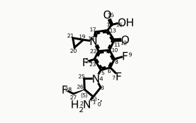 C[C@@]1(N)CN(c2c(F)c(F)c3c(=O)c(C(=O)O)cn(C4CC4)c3c2F)C[C@@H]1CF